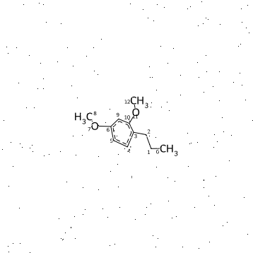 CCCc1[c]cc(OC)cc1OC